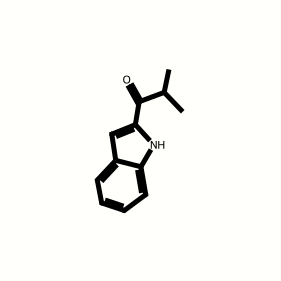 CC(C)C(=O)c1cc2ccccc2[nH]1